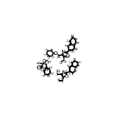 CCc1oc(-c2ccc3ccccc3c2)nc1CI.CCc1oc(-c2ccc3ccccc3c2)nc1CO[C@H]1CCC[C@@H](COC(C)(Cc2ccccc2)C(=O)O)C1